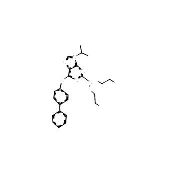 CC(C)n1cnc2c(Nc3ccc(-c4ccccc4)cc3)nc(N(OCCO)OCCO)nc21